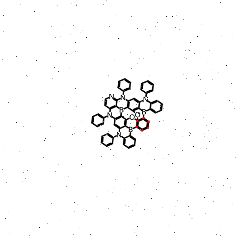 c1ccc(N2c3ccccc3B3c4ccccc4Oc4c3c2cc2c4B3c4c(ccnc4N(c4ccccc4)c4cc5c6c(c43)Oc3ccccc3B6c3ccccc3N5c3ccccc3)N2c2ccccc2)cc1